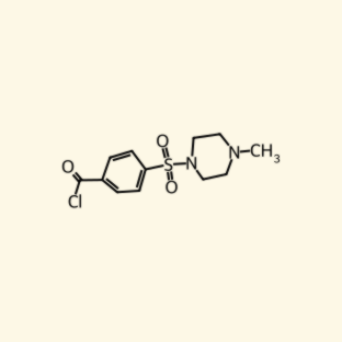 CN1CCN(S(=O)(=O)c2ccc(C(=O)Cl)cc2)CC1